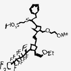 CCO/C=C\C1CC(/C=C/C2CC(C(Cc3ccccc3)SCCS(=O)(=O)O)CC2COCCOC)CC1C(F)(F)C(F)(F)C(F)(F)C(F)(F)C(F)(F)C(F)(F)F